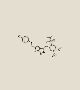 COc1ccc(CCc2cn3c(Cc4cc(OC)c(OC)cc4S(=O)(=O)N(C)C)nnc3s2)cc1